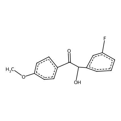 COc1ccc(C(=O)C(O)c2cccc(F)c2)cc1